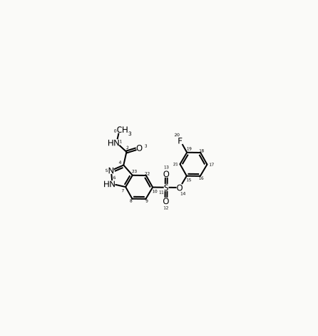 CNC(=O)c1n[nH]c2ccc(S(=O)(=O)Oc3cccc(F)c3)cc12